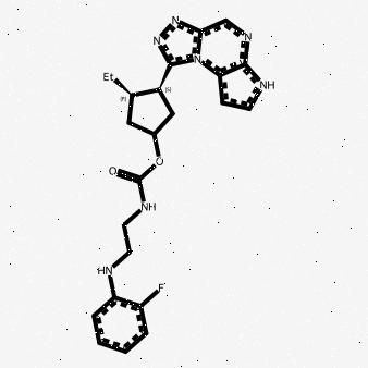 CC[C@@H]1CC(OC(=O)NCCNc2ccccc2F)C[C@@H]1c1nnc2cnc3[nH]ccc3n12